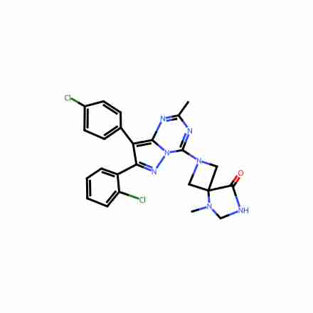 Cc1nc(N2CC3(C2)C(=O)NCN3C)n2nc(-c3ccccc3Cl)c(-c3ccc(Cl)cc3)c2n1